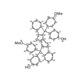 COc1ccc(C2(c3ccc(O)cc3)c3ccccc3-c3sc4c5c(sc4c32)-c2ccccc2C5(c2ccc(O)cc2)c2ccc(OC)cc2)cc1